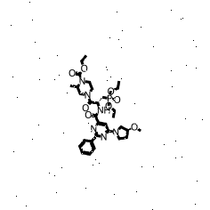 CCOC(=O)N1CCN(C(=O)[C@H](CP(=O)(OCC)OCC)NC(=O)c2cc(N3CC[C@H](OC)C3)nc(-c3ccccc3)n2)CC1C